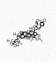 COCC(=O)N(Cc1ccc(Cl)cc1)CC(O)C12CC[C@]3(C)[C@H](CC[C@@H]4[C@@]5(C)CC[C@H](OC(=O)CC(C)(C)C(=O)O)C(C)(C)[C@@H]5CC[C@]43C)C1=C(C(C)C)C(=O)C2